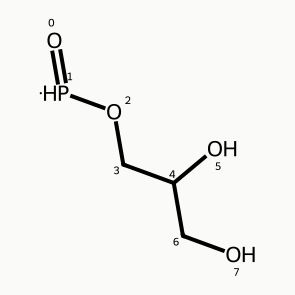 O=[PH]OCC(O)CO